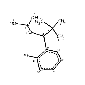 CC(C)(C)C(OB(O)O)c1ccccc1F